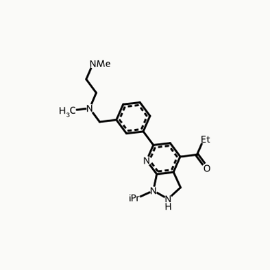 CCC(=O)c1cc(-c2cccc(CN(C)CCNC)c2)nc2c1CNN2C(C)C